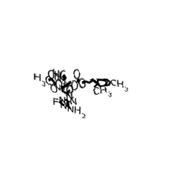 C#C[C@]1(COC(=O)OCCCC2(CC)CC3CC(C)CC(C3)C2)O[C@@H](n2cnc3c(N)nc(F)nc32)C[C@@H]1OC(=O)C(C)C